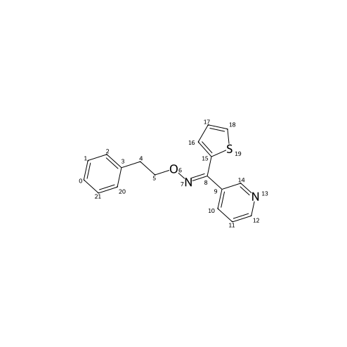 c1ccc(CCON=C(c2cccnc2)c2cccs2)cc1